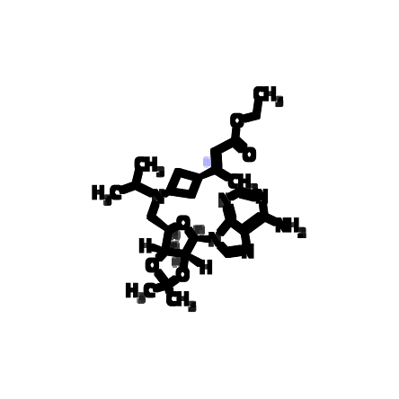 CCOC(=O)/C=C(\C)[C@H]1C[C@@H](N(C[C@H]2O[C@@H](n3cnc4c(N)ncnc43)[C@@H]3OC(C)(C)O[C@@H]32)C(C)C)C1